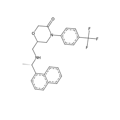 C[C@H](NCC1CN(c2ccc(C(F)(F)F)cc2)C(=O)CO1)c1cccc2ccccc12